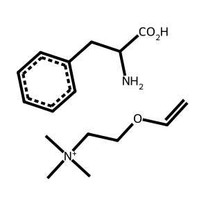 C=COCC[N+](C)(C)C.NC(Cc1ccccc1)C(=O)O